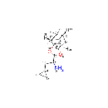 CC1(C)[C@@H]2C[C@H]3OB(C(N)CC4CC4)O[C@@]3(C)[C@H]1C2